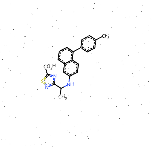 CC(Nc1ccc2c(-c3ccc(C(F)(F)F)cc3)cccc2c1)c1nsc(C(=O)O)n1